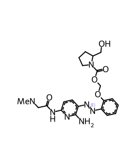 CNCC(=O)Nc1ccc(/N=N/c2ccccc2OCOC(=O)N2CCCC2CO)c(N)n1